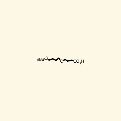 CCCCOCCCCOCCCC(=O)O